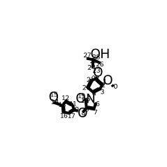 COc1cc(N2CC=C(Oc3ccc(C=O)cc3)C2=O)ccc1OCC(C)(C)O